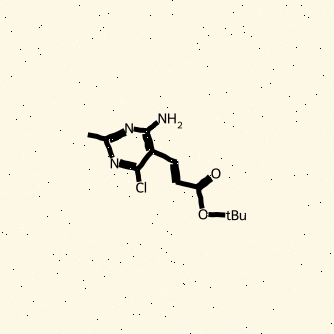 Cc1nc(N)c(/C=C/C(=O)OC(C)(C)C)c(Cl)n1